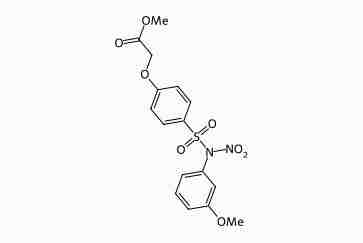 COC(=O)COc1ccc(S(=O)(=O)N(c2cccc(OC)c2)[N+](=O)[O-])cc1